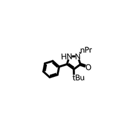 CCCn1[nH]c(-c2ccccc2)c(C(C)(C)C)c1=O